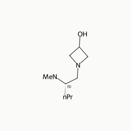 CCC[C@@H](CN1CC(O)C1)NC